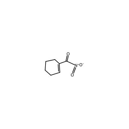 O=C(C1=CCCCC1)[N+](=O)[O-]